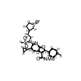 CNC(=O)c1c(-c2ccc(C)cc2)oc2nc(N(CCC3CC[S+]([O-])C3)S(C)(=O)=O)c(C3CC3)cc12